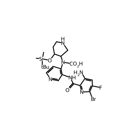 CC(C)(C)[Si](C)(C)OC1CCNCC1N(C(=O)O)c1ccncc1NC(=O)c1nc(Br)c(F)cc1N